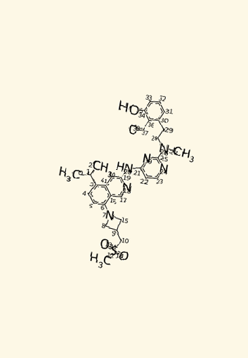 CC(C)c1ccc(N2CC(CS(C)(=O)=O)C2)c2cnc(Nc3ccnc(N(C)CCc4cccc(O)c4C=O)n3)cc12